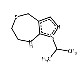 CC(C)n1ncc2c1NCCSC2